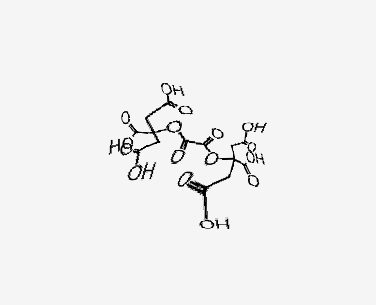 O=C(O)CC(CC(=O)O)(OC(=O)C(=O)OC(CC(=O)O)(CC(=O)O)C(=O)O)C(=O)O